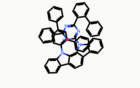 c1ccc(-c2ccc(-n3c4ccccc4c4ccc5c6ccccc6n(C6=NC(c7ccccc7-c7ccccc7)=NC(c7ccccc7)N6)c5c43)c(-c3ccccc3)c2)cc1